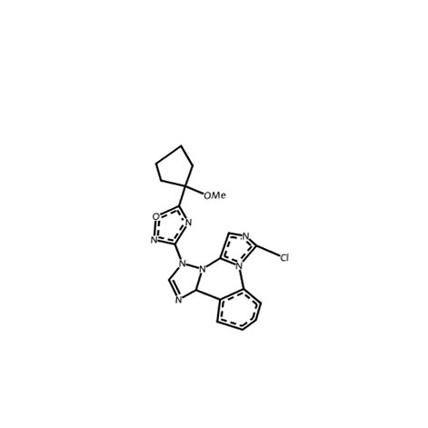 COC1(c2nc(N3C=NC4c5ccccc5-n5c(cnc5Cl)N43)no2)CCCC1